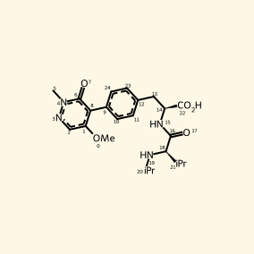 COc1cnn(C)c(=O)c1-c1ccc(C[C@H](NC(=O)[C@H](NC(C)C)C(C)C)C(=O)O)cc1